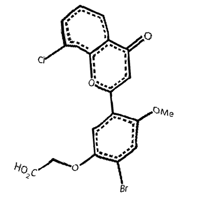 COc1cc(Br)c(OCC(=O)O)cc1-c1cc(=O)c2cccc(Cl)c2o1